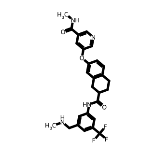 CNCc1cc(NC(=O)C2CCc3ccc(Oc4cncc(C(=O)NC)c4)cc3C2)cc(C(F)(F)F)c1